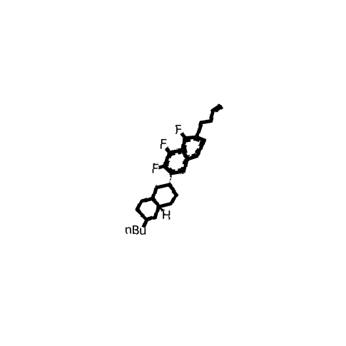 C=CCCc1ccc2cc([C@@H]3CC[C@@H]4CC(CCCC)CCC4C3)c(F)c(F)c2c1F